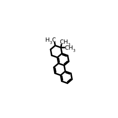 CC1CCc2c(ccc3c2ccc2ccccc23)C1(C)C